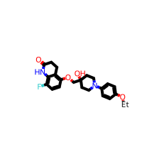 CCOc1ccc(N2CCC(O)(COc3ccc(F)c4c3CCC(=O)N4)CC2)cc1